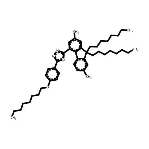 CCCCCCCCOc1ccc(-c2nnc(-c3cc(C)cc4c3-c3ccc(C)cc3C4(CCCCCCCC)CCCCCCCC)o2)cc1